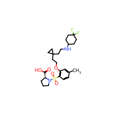 Cc1ccc(S(=O)(=O)N2CCC[C@H]2C(=O)O)c(OCCC2(CCNC3CCC(F)(F)CC3)CC2)c1